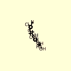 CC1(C)C(NC(=O)c2ccc(N3C[C@@H]4[C@H](CO)[C@@H]4C3)nn2)C(C)(C)C1Oc1ccc(C#N)c(Cl)c1